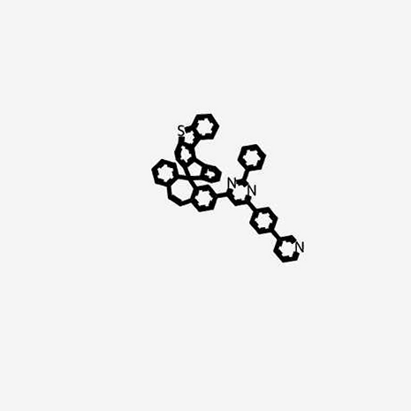 C1=Cc2ccc(-c3cc(-c4ccc(-c5cccnc5)cc4)nc(-c4ccccc4)n3)cc2C2(c3ccccc31)c1ccccc1-c1c2ccc2sc3ccccc3c12